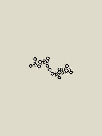 c1ccc(-c2nc(-c3ccccc3)nc(-c3cccc4sc5c(-c6nc(-c7ccc(-c8ccc(-c9cccc(-c%10nc(-c%11ccccc%11)nc(-c%11cccc%12sc%13c(-c%14nc(-c%15ccccc%15)c%15oc%16ccccc%16c%15n%14)cccc%13c%11%12)n%10)c9)cc8)cc7)c7oc8ccccc8c7n6)cccc5c34)n2)cc1